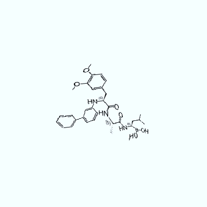 COc1ccc(C[C@H](Nc2cccc(-c3ccccc3)c2)C(=O)N[C@@H](C)C(=O)N[C@@H](CC(C)C)B(O)O)cc1OC